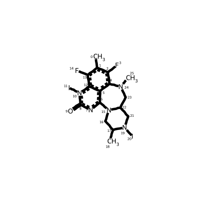 Cc1c(F)c2c3c(nc(=O)n(I)c3c1F)N1CC(C)N(I)CC1CN2C